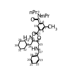 CCCN(CCC)C(=O)c1cc(C)cc(C(=O)OC(CNCc2ccccc2)C(N)CC2CCCCC2)c1